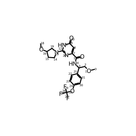 COCC(NC(=O)c1cc(=O)[nH]c(N2CCC(OC)C2)n1)c1ccc(OC(F)(F)F)cc1